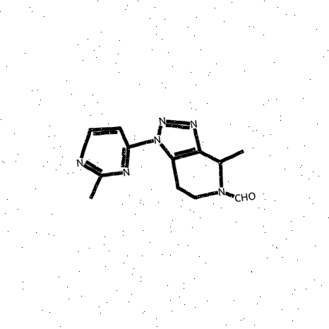 Cc1nccc(-n2nnc3c2CCN(C=O)C3C)n1